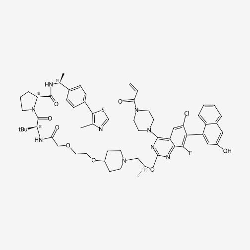 C=CC(=O)N1CCN(c2nc(O[C@H](C)CN3CCC(OCCOCC(=O)N[C@H](C(=O)N4CCC[C@H]4C(=O)N[C@@H](C)c4ccc(-c5scnc5C)cc4)C(C)(C)C)CC3)nc3c(F)c(-c4cc(O)cc5ccccc45)c(Cl)cc23)CC1